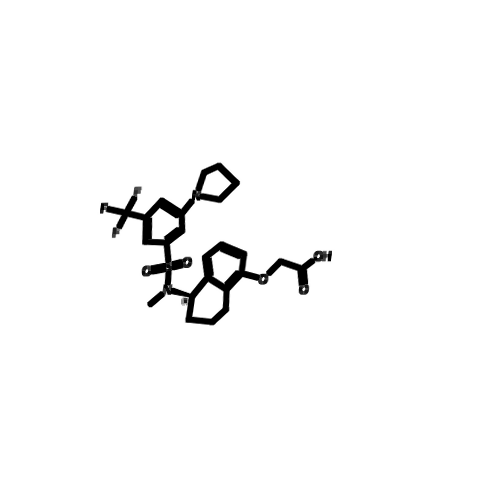 CN([C@@H]1CCCc2c(OCC(=O)O)cccc21)S(=O)(=O)c1cc(N2CCCC2)cc(C(F)(F)F)c1